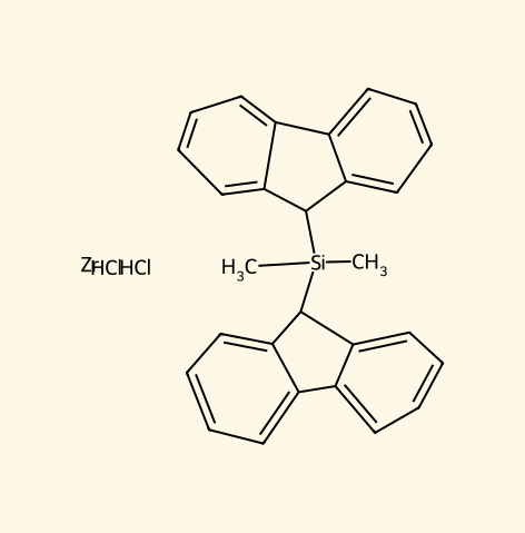 C[Si](C)(C1c2ccccc2-c2ccccc21)C1c2ccccc2-c2ccccc21.Cl.Cl.[Zr]